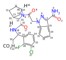 NC(=O)c1nn(CC(=O)N2[C@@H]3CC[C@@H](C3)[C@H]2C(=O)NC(CC(=O)O)c2cccc(Cl)c2F)c2ccccc12